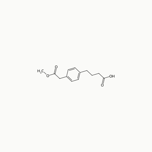 COC(=O)Cc1ccc(CCCC(=O)O)cc1